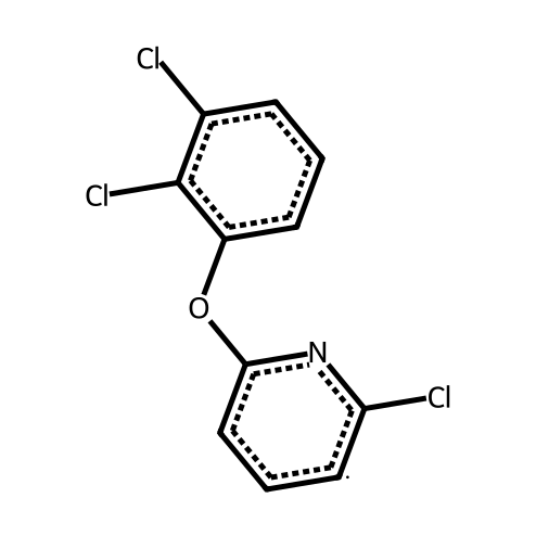 Clc1[c]ccc(Oc2cccc(Cl)c2Cl)n1